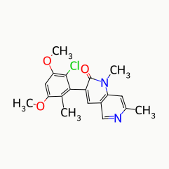 COc1cc(OC)c(Cl)c(-c2cc3cnc(C)cc3n(C)c2=O)c1C